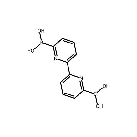 OB(O)c1cccc(-c2cccc(B(O)O)n2)n1